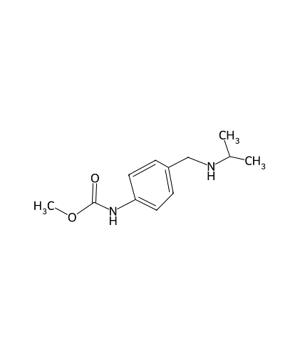 COC(=O)Nc1ccc(CNC(C)C)cc1